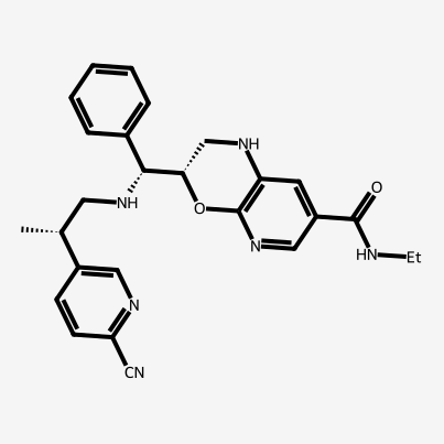 CCNC(=O)c1cnc2c(c1)NC[C@@H]([C@H](NC[C@@H](C)c1ccc(C#N)nc1)c1ccccc1)O2